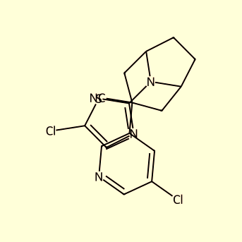 N#CC1(c2cncc(Cl)c2)CC2CCC(C1)N2c1ncc(Cl)s1